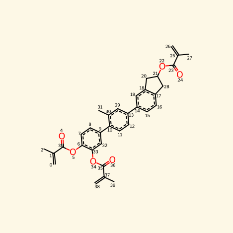 C=C(C)C(=O)Oc1ccc(-c2ccc(-c3ccc4c(c3)CC(OC(=O)C(=C)C)C4)cc2C)cc1OC(=O)C(=C)C